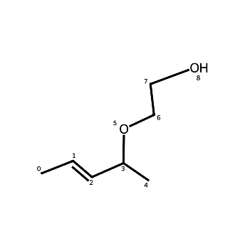 C/C=C/C(C)OCCO